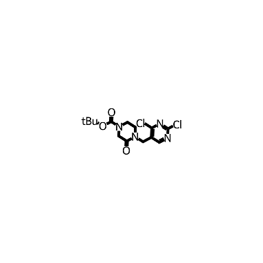 CC(C)(C)OC(=O)N1CCN(Cc2cnc(Cl)nc2Cl)C(=O)C1